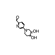 O=Cc1ccc(N2CC[C@H](O)[C@@H](O)C2)cn1